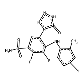 Cc1cc(I)ccc1Nc1c(-n2nn[nH]c2=O)cc(S(N)(=O)=O)c(F)c1F